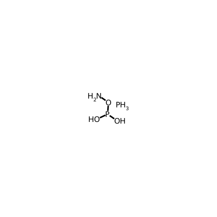 NOP(O)O.P